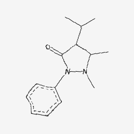 CC(C)C1C(=O)N(c2ccccc2)N(C)C1C